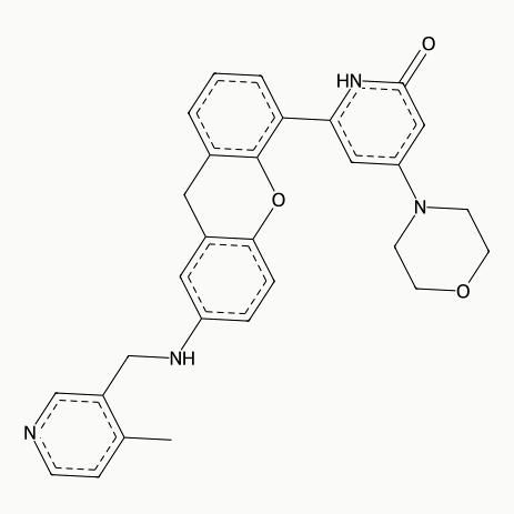 Cc1ccncc1CNc1ccc2c(c1)Cc1cccc(-c3cc(N4CCOCC4)cc(=O)[nH]3)c1O2